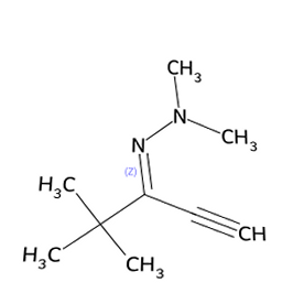 C#C/C(=N\N(C)C)C(C)(C)C